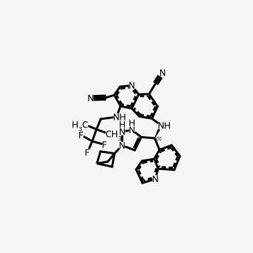 CC(C)(CNc1c(C#N)cnc2c(C#N)cc(N[C@H](C3=CN(C45CC(C4)C5)NN3)c3cccc4ncccc34)cc12)C(F)(F)F